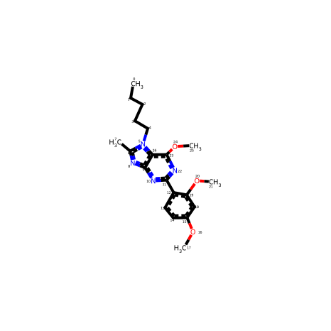 CCCCCn1c(C)nc2nc(-c3ccc(OC)cc3OC)nc(OC)c21